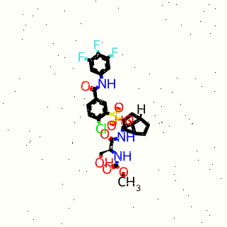 COC(=O)N[C@@H](CO)C(=O)NC[C@@]1(O)C2CC[C@H]1C[C@H](S(=O)(=O)c1cc(C(=O)Nc3cc(F)c(F)c(F)c3)ccc1Cl)C2